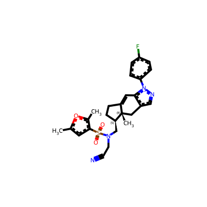 Cc1cc(S(=O)(=O)N(CC#N)C[C@H]2CCC3=Cc4c(cnn4-c4ccc(F)cc4)C[C@@]32C)c(C)o1